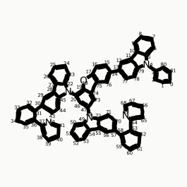 c1ccc(-n2c3ccccc3c3cc(-c4ccc5oc6c(-n7c8ccccc8c8cc(-c9ccccc9-c9ccccn9)ccc87)cc(-n7c8ccccc8c8cc(-c9ccccc9-c9ccccn9)ccc87)cc6c5c4)ccc32)cc1